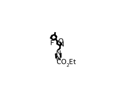 CCOC(=O)N1CCN(CCc2cc(-c3cc(C)ccc3F)on2)CC1